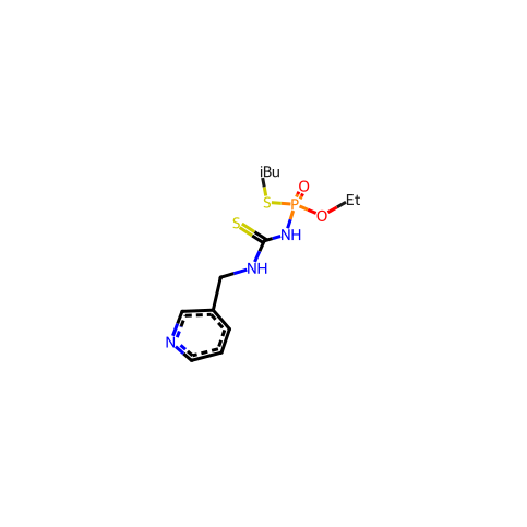 CCOP(=O)(NC(=S)NCc1cccnc1)SC(C)CC